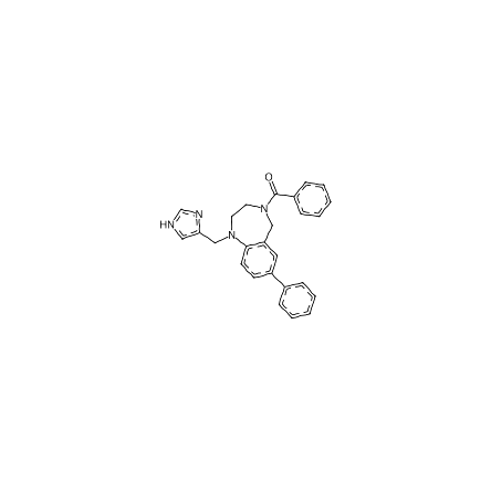 O=C(c1ccccc1)N1CCN(Cc2c[nH]cn2)c2ccc(-c3ccccc3)cc2C1